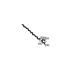 CCCCCCCCCCCCCCCC(=O)OC1C(O)C(O)OC(CO)C1O